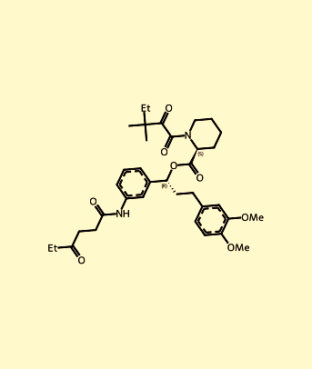 CCC(=O)CCC(=O)Nc1cccc([C@@H](CCc2ccc(OC)c(OC)c2)OC(=O)[C@@H]2CCCCN2C(=O)C(=O)C(C)(C)CC)c1